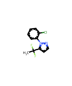 CC(F)(F)c1[c]cnn1-c1ccccc1Cl